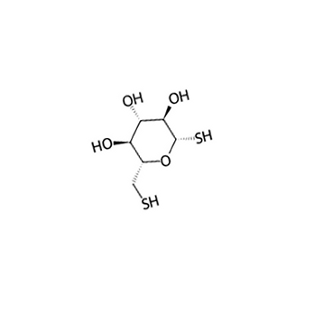 O[C@@H]1[C@@H](O)[C@H](S)O[C@H](CS)[C@H]1O